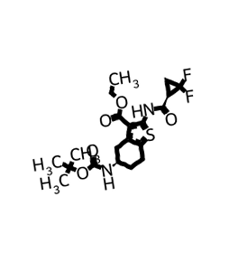 CCOC(=O)c1c(NC(=O)[C@H]2CC2(F)F)sc2c1C[C@@H](NC(=O)OC(C)(C)C)CC2